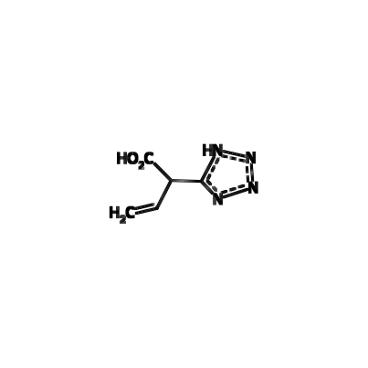 C=CC(C(=O)O)c1nnn[nH]1